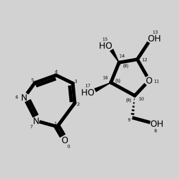 O=c1ccccnn1.OC[C@H]1OC(O)[C@H](O)[C@@H]1O